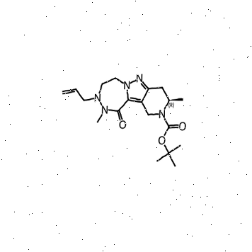 C=CCN1CCn2nc3c(c2C(=O)N1C)CN(C(=O)OC(C)(C)C)[C@H](C)C3